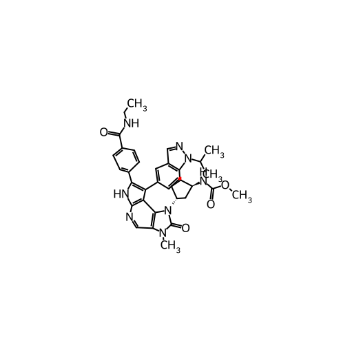 CCNC(=O)c1ccc(-c2[nH]c3ncc4c(c3c2-c2ccc3c(cnn3C(C)C)c2)n([C@@H]2CC[C@@H](NC(=O)OC)C2)c(=O)n4C)cc1